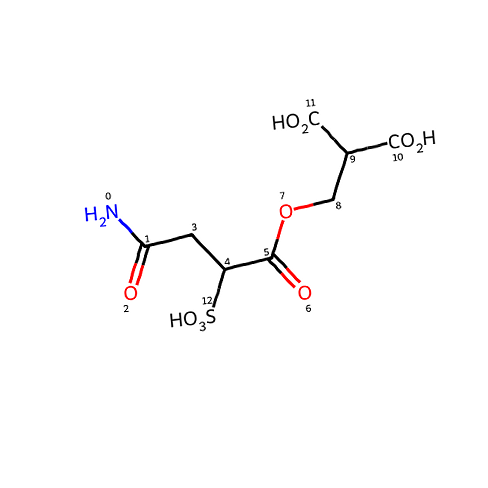 NC(=O)CC(C(=O)OCC(C(=O)O)C(=O)O)S(=O)(=O)O